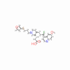 COc1ccc2nccc([C@H](F)CC[C@@H]3CCN(CCCSc4ccoc4)C[C@H]3CCC(=O)O)c2c1